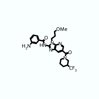 COCCCn1c(NC(=O)c2cccc(N)c2)nc2cc(C(=O)N3CCCC(C(F)(F)F)C3)cnc21